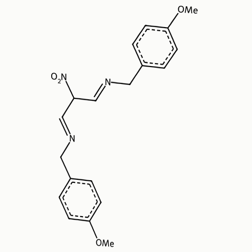 COc1ccc(CN=CC(/C=N/Cc2ccc(OC)cc2)[N+](=O)[O-])cc1